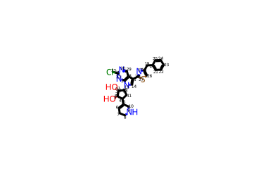 O[C@@H]1[C@H](O)C(C2=CCCNC2)C[C@H]1n1cc(-c2nc(Cc3ccccc3)cs2)c2cnc(Cl)nc21